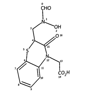 O=CN(O)CC1Sc2ccccc2N(CC(=O)O)C1=O